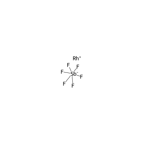 [F][Sb-]([F])([F])([F])([F])[F].[Rh+]